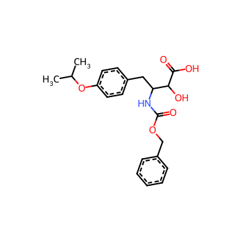 CC(C)Oc1ccc(CC(NC(=O)OCc2ccccc2)C(O)C(=O)O)cc1